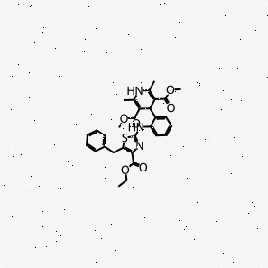 CCOC(=O)c1nc(Nc2ccccc2C2C(C(=O)OC)=C(C)NC(C)=C2C(=O)OC)sc1Cc1ccccc1